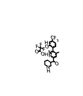 Cc1cc(C(=O)C2CCCNC2)nnc1-c1ccc(C(F)(F)F)cc1O.O=C(O)C(F)(F)F